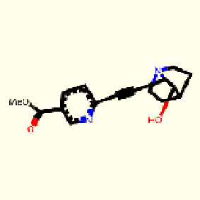 COC(=O)c1ccc(C#CC2C(O)C3CCN2CC3)nc1